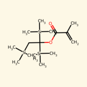 C=C(C)C(=O)OC(C[Si](C)(C)C)([Si](C)(C)C)[Si](C)(C)C